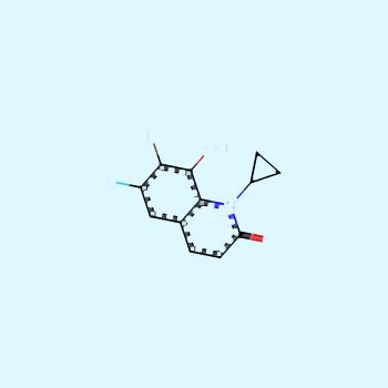 O=c1ccc2cc(F)c(Br)c(O)c2n1C1CC1